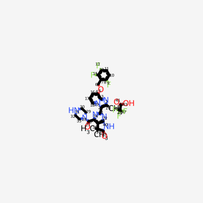 Cc1nc2c(OCc3c(F)ccc(F)c3F)cccn2c1-c1nc2c(c(C(=O)N3CCNCC3)n1)C(C)(C)C(=O)N2.O=C(O)C(F)(F)F